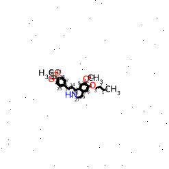 CCCCOc1cc2c(cc1OC)C(/C=C/c1ccc(S(C)(=O)=O)cc1)NCC2